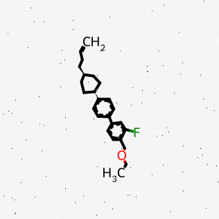 C=CCC[C@H]1CC[C@H](c2ccc(-c3ccc(COCC)c(F)c3)cc2)CC1